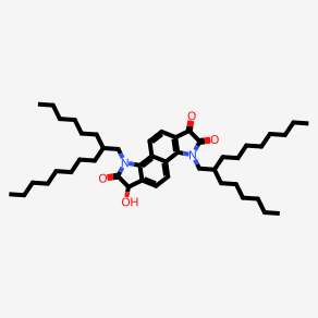 CCCCCCCCC(CCCCCC)CN1C(=O)C(=O)c2ccc3c4c(ccc3c21)C(O)C(=O)N4CC(CCCCCC)CCCCCCCC